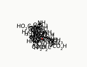 C[C@H](N)C(=O)N[C@@H](CCC(=O)O)C(=O)N[C@@H](CC(N)=O)C(=O)N[C@@H](CO)C(=O)N[C@@H](CO)C(=O)N[C@@H](C)C(=O)N1CCC[C@H]1C(=O)N[C@@H](CCC(=O)O)C(=O)N[C@@H](C)C(=O)N[C@@H](CCC(=O)O)C(=O)N[C@@H](CCC(N)=O)C(=O)NCC(=O)NCC(=O)N[C@@H](C)C(=O)N[C@@H](CCC(=O)O)C(=O)O